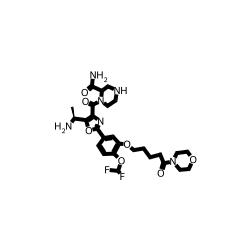 C[C@H](N)c1oc(-c2ccc(OC(F)F)c(OCCCCC(=O)N3CCOCC3)c2)nc1C(=O)N1CCNCC1C(N)=O